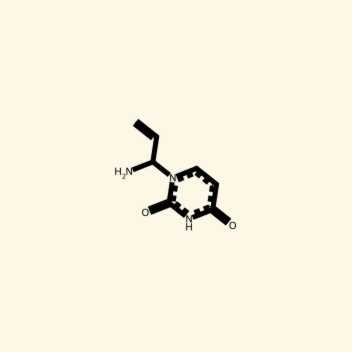 C=CC(N)n1ccc(=O)[nH]c1=O